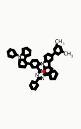 Cc1cc(C)cc(-c2ccc3c(c2)c2ccccc2n3-c2ccc(-c3cccc4c3c3ccccc3n4-c3ccccc3)cc2-c2nc(-c3ccccc3)nc(-c3ccccc3)n2)c1